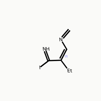 C=N/C=C(/CC)C(=N)I